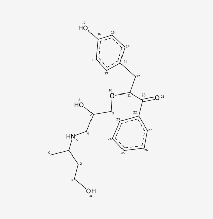 CC(CCO)NCC(O)COC(Cc1ccc(O)cc1)C(=O)c1ccccc1